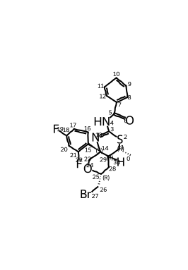 C[C@H]1SC(NC(=O)c2ccccc2)=N[C@@]2(c3ccc(F)cc3F)CO[C@@H](CBr)C[C@@H]12